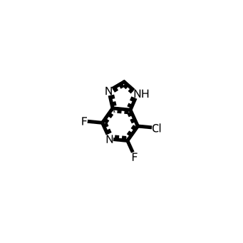 Fc1nc(F)c2nc[nH]c2c1Cl